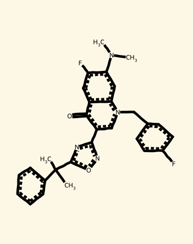 CN(C)c1cc2c(cc1F)c(=O)c(-c1noc(C(C)(C)c3ccccc3)n1)cn2Cc1ccc(F)cc1